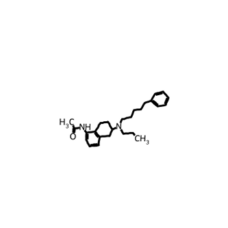 CCCN(CCCCCc1ccccc1)C1CCc2c(cccc2NC(C)=O)C1